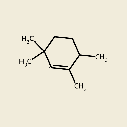 CC1=[C]C(C)(C)CCC1C